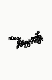 C=CC(=O)OC(CCCCCCCCCCC)COC(C)OC(=O)CCC(=O)CC(OC(=O)C=C)C(=O)CC